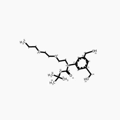 CCCOCCOCCN(C(=O)OC(C)(C)C)c1cc(CO)cc(CO)c1